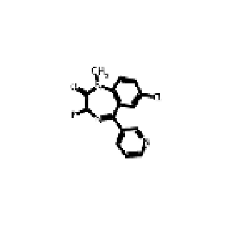 CN1C(=O)C(F)N=C(c2cccnc2)c2cc(Cl)ccc21